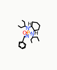 CCC(CC)N1[C@@H]2CCCC[C@H]2N(C(CC)CC)P1(=O)/N=C/c1ccccc1